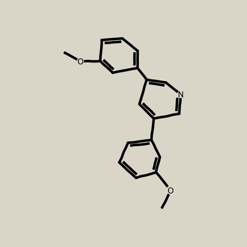 COc1cccc(-c2cncc(-c3cccc(OC)c3)c2)c1